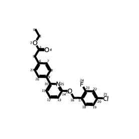 CCOC(=O)Cc1ccc(-c2cccc(OCc3ccc(Cl)cc3F)n2)cc1